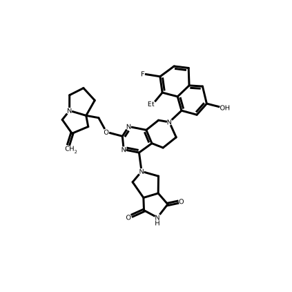 C=C1CN2CCCC2(COc2nc3c(c(N4CC5C(=O)NC(=O)C5C4)n2)CCN(c2cc(O)cc4ccc(F)c(CC)c24)C3)C1